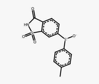 Cc1ccc([S+]([O-])c2ccc3c(c2)S(=O)(=O)NC3=O)cc1